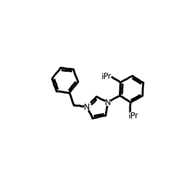 CC(C)c1cccc(C(C)C)c1-n1cc[n+](Cc2ccccc2)c1